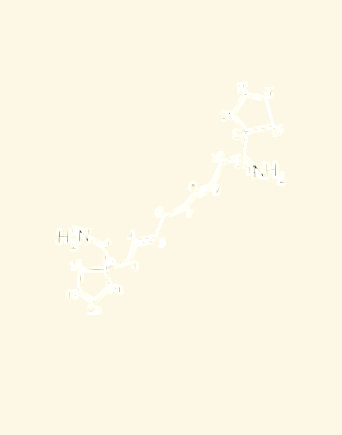 NCC1(CC=CCCC=CCC(N)C2CCCC2)CCCC1